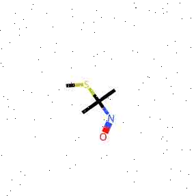 CSC(C)(C)N=O